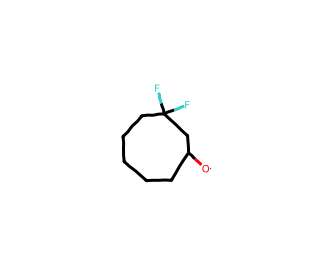 [O]C1CCCCCC(F)(F)C1